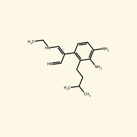 CCN/C=C(\C=N)c1ccc(N)c(N)c1CCC(C)C